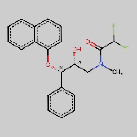 CN(C[C@@H](O)[C@@H](Oc1cccc2ccccc12)c1ccccc1)C(=O)C(F)F